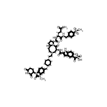 Cn1c(=O)n(C2CCC(=O)NC2=O)c2ccc(C[C@H]3CC[C@@H](CCN4CC[C@H]5CC[C@@H](C(=O)N[C@@H](CCC(N)=O)C(=O)NCc6ccc(S(C)(=O)=O)cc6)N5C(=O)[C@@H](NC(=O)c5cc6cc(C(=O)P(=O)(O)O)ccc6[nH]5)C4)CC3)cc21